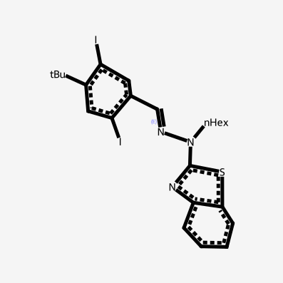 CCCCCCN(/N=C/c1cc(I)c(C(C)(C)C)cc1I)c1nc2ccccc2s1